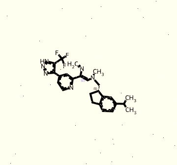 C=N/C(=C\N(C)C[C@H]1CCc2ccc(C(C)C)cc21)c1cc(-c2nn[nH]c2C(F)(F)F)ccn1